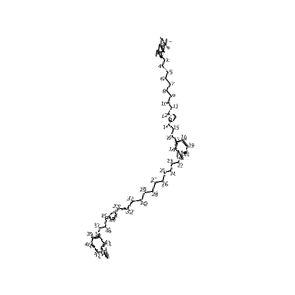 [N-]=[N+]=NCCCCCCCCCCOCCCc1ccc[n+](CCCCCCCCCCCCOCCCc2cccnc2)c1